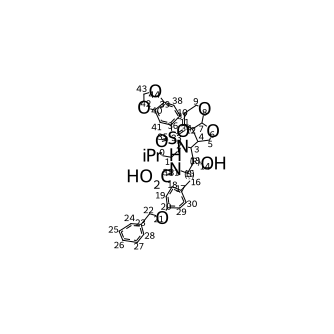 CC(C)CN(C(C1COC2OCCCC21)[C@H](O)[C@H](Cc1ccc(OCc2ccccc2)cc1)NC(=O)O)S(=O)(=O)c1ccc2c(c1)OCO2